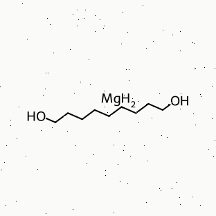 OCCCCCCCCCO.[MgH2]